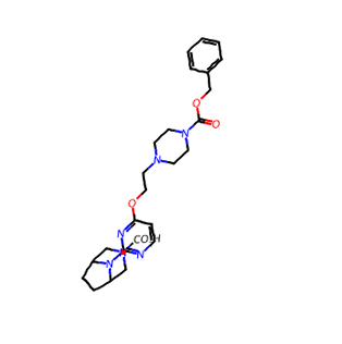 O=C(O)N1CC2CCC(C1)N2c1nccc(OCCN2CCN(C(=O)OCc3ccccc3)CC2)n1